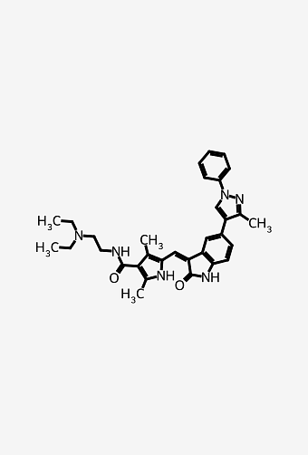 CCN(CC)CCNC(=O)c1c(C)[nH]c(/C=C2\C(=O)Nc3ccc(-c4cn(-c5ccccc5)nc4C)cc32)c1C